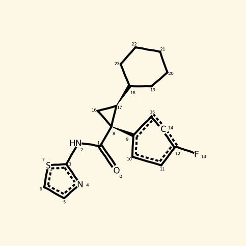 O=C(Nc1nccs1)[C@]1(c2ccc(F)cc2)C[C@H]1C1CCCCC1